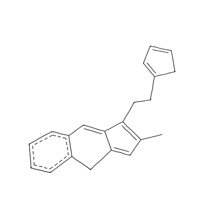 CC1=C(CCC2=CC=CC2)C2=Cc3ccccc3CC2=C1